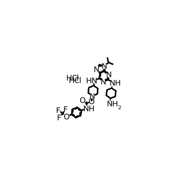 CC(C)n1cnc2c(NC3CCN(OC(=O)Nc4ccc(OC(F)(F)F)cc4)CC3)nc(N[C@H]3CC[C@H](N)CC3)nc21.Cl.Cl